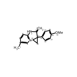 C=C(Nc1ccc(C)cn1)C1(c2ccc(OC)cc2)CC1